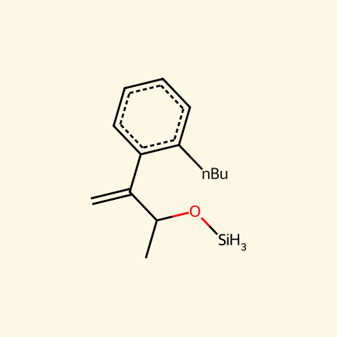 C=C(c1ccccc1CCCC)C(C)O[SiH3]